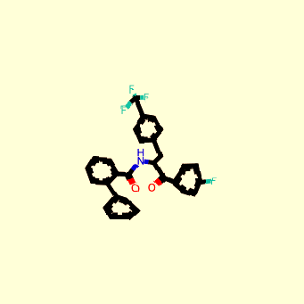 O=C(NC(Cc1ccc(C(F)(F)F)cc1)C(=O)c1ccc(F)cc1)c1ccccc1-c1ccccc1